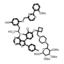 COc1ccccc1-c1nccc(COc2ccc(O)cc2C[C@@H](Oc2ncnc3sc(-c4ccc(F)cc4)c(-c4ccc(OC5(CN6CCN(CC7O[C@H](OC)[C@@H](OC)[C@@H](OC)[C@@H]7OC)CC6)CCC5)c(Cl)c4C)c23)C(=O)O)n1